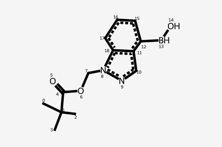 CC(C)(C)C(=O)OCn1ncc2c(BO)cccc21